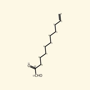 C=CCCCCCCCCC(=O)C=O